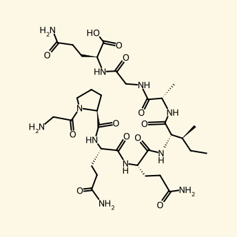 CC[C@H](C)[C@H](NC(=O)[C@H](CCC(N)=O)NC(=O)[C@H](CCC(N)=O)NC(=O)[C@@H]1CCCN1C(=O)CN)C(=O)N[C@@H](C)C(=O)NCC(=O)N[C@@H](CCC(N)=O)C(=O)O